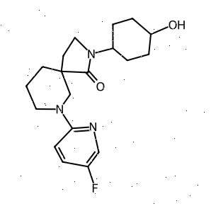 O=C1N(C2CCC(O)CC2)CCC12CCCN(c1ccc(F)cn1)C2